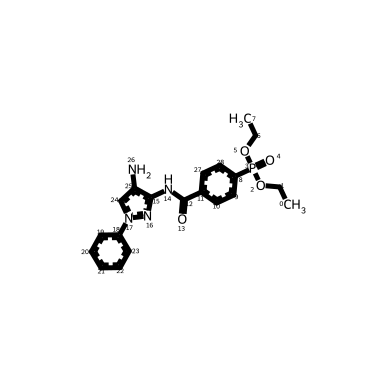 CCOP(=O)(OCC)c1ccc(C(=O)Nc2nn(-c3ccccc3)cc2N)cc1